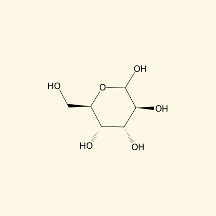 OC[C@H]1OC(O)[C@@H](O)[C@H](O)[C@@H]1O